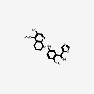 COc1c(C#N)cnc2c1CCC[C@H]2Nc1ccc(N)c(C(=N)c2cnco2)c1